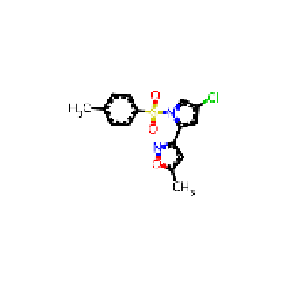 Cc1ccc(S(=O)(=O)n2cc(Cl)cc2-c2cc(C)on2)cc1